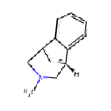 CN1CC2C[C@@H](C1)c1ccccc12